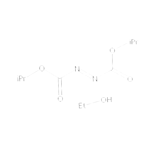 CC(C)OC(=O)N=NC(=O)OC(C)C.CCO